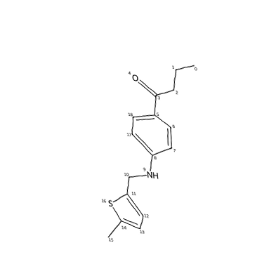 CCCC(=O)c1ccc(NCc2ccc(C)s2)cc1